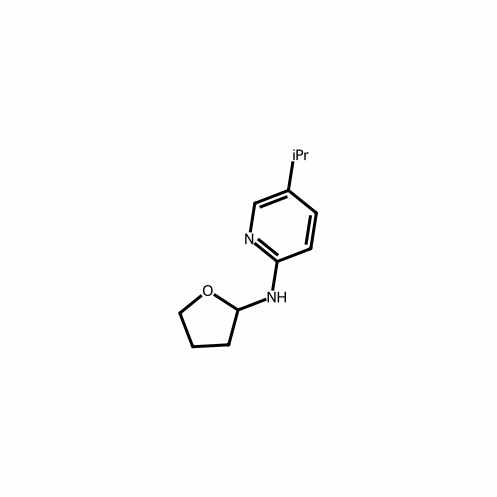 CC(C)c1ccc(NC2CCCO2)nc1